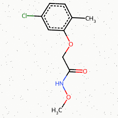 CONC(=O)COc1cc(Cl)ccc1C